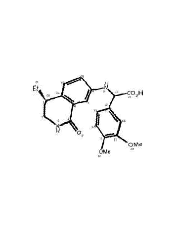 CC[C@@H]1CNC(=O)c2cc(NC(C(=O)O)c3ccc(OC)c(OC)c3)ccc21